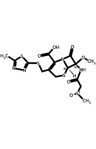 CO[C@@]1(NC(=O)C[S+](C)[O-])C(=O)N2C(C(=O)O)=C(CSc3nnc(C)s3)CS[C@@H]21